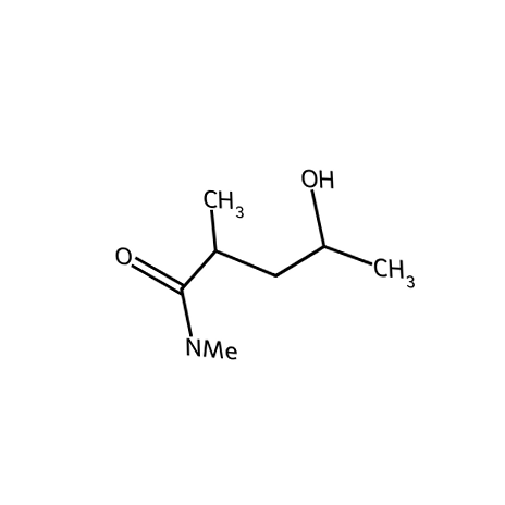 CNC(=O)C(C)CC(C)O